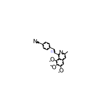 COc1cc2cc(C)nc(/C=C/c3ccc(C#N)cc3)c2c(OC)c1OC